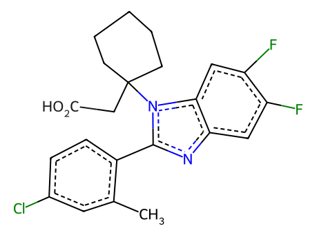 Cc1cc(Cl)ccc1-c1nc2cc(F)c(F)cc2n1C1(CC(=O)O)CCCCC1